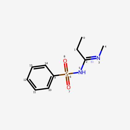 CC/C(=N\C)NS(=O)(=O)c1ccccc1